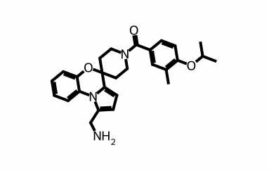 Cc1cc(C(=O)N2CCC3(CC2)Oc2ccccc2-n2c(CN)ccc23)ccc1OC(C)C